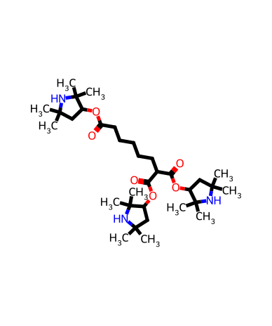 CC1(C)CC(OC(=O)CCCCCC(C(=O)OC2CC(C)(C)NC2(C)C)C(=O)OC2CC(C)(C)NC2(C)C)C(C)(C)N1